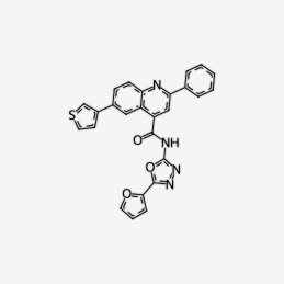 O=C(Nc1nnc(-c2ccco2)o1)c1cc(-c2ccccc2)nc2ccc(-c3ccsc3)cc12